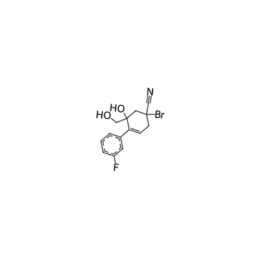 N#CC1(Br)CC=C(c2cccc(F)c2)C(O)(CO)C1